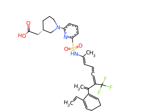 C=CC1=CCCC=C1C(=C)C(=C=C/C=C(\C)NS(=O)(=O)c1cccc(N2CCC[C@@H](CC(=O)O)C2)n1)C(F)(F)F